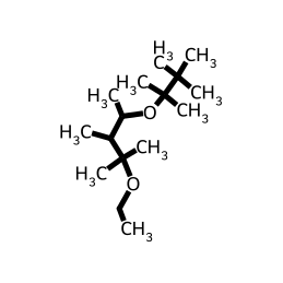 CCOC(C)(C)C(C)C(C)OC(C)(C)C(C)(C)C